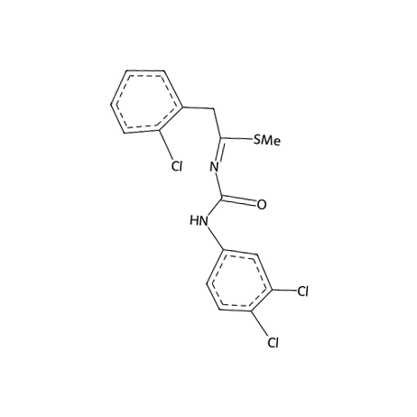 CSC(Cc1ccccc1Cl)=NC(=O)Nc1ccc(Cl)c(Cl)c1